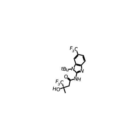 CC(C)(C)n1c(NC(=O)C[C@](C)(O)C(F)(F)F)nc2ccc(C(F)(F)F)cc21